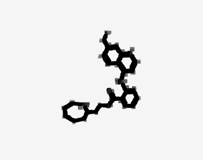 O=C(OCCC1CCCCCN1)c1ccccc1Nc1ccnc2cc(CF)ccc12